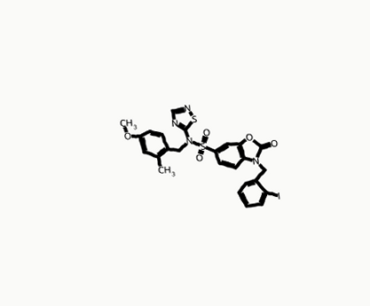 COc1ccc(CN(c2ncns2)S(=O)(=O)c2ccc3c(c2)oc(=O)n3Cc2ccccc2I)c(C)c1